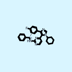 C[C@H](Nc1nccc(-c2c(-c3ccc(F)cc3)ncn2C2CCCCC2)n1)c1ccccc1